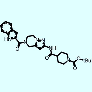 CC(C)(C)OC(=O)N1CCC(C(=O)Nc2cc3n(n2)CCN(C(=O)c2cc4ccccc4[nH]2)C3)CC1